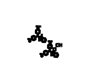 CN(C)c1ccc(C(=C2C=CC(=[N+](C)C)C=C2)c2sc3ccccc3c2Cl)cc1.Cc1c(C(=C2C=CC(=[N+](C)C)C=C2)c2ccc(N(C)C)cc2)sc2ccccc12.Cl